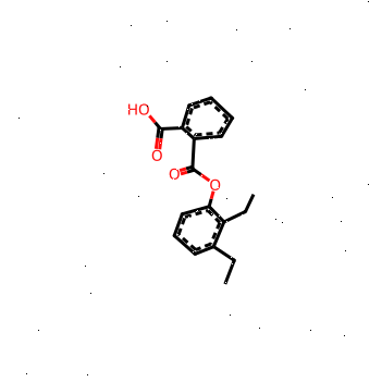 CCc1cccc(OC(=O)c2ccccc2C(=O)O)c1CC